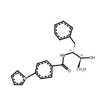 O=C(N[C@H](Cc1ccccc1)[C@@H](O)C(=O)O)c1ccc(-n2cccc2)cc1